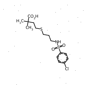 CC(C)(CCSCCCNS(=O)(=O)c1ccc(Cl)cc1)C(=O)O